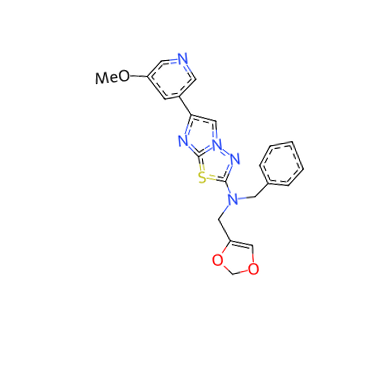 COc1cncc(-c2cn3nc(N(CC4=COCO4)Cc4ccccc4)sc3n2)c1